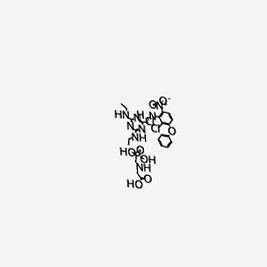 CCNc1nc(Cl)nc(NCC)n1.Nc1c([N+](=O)[O-])ccc(Oc2ccccc2)c1Cl.O=C(O)CNCP(=O)(O)O